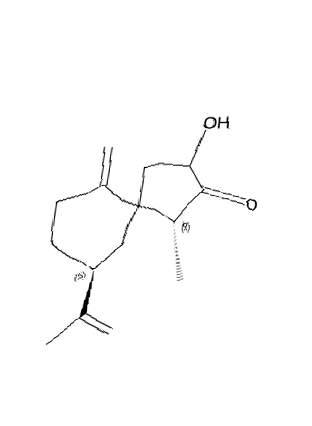 C=C(C)[C@H]1CCC(=C)C2(CC(O)C(=O)[C@@H]2C)C1